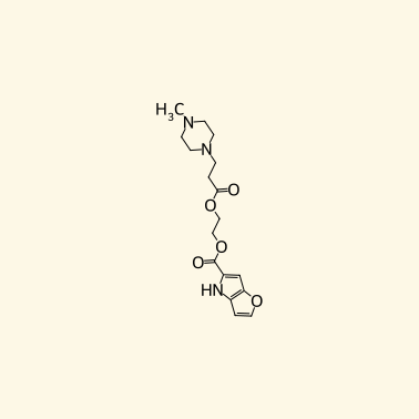 CN1CCN(CCC(=O)OCCOC(=O)c2cc3occc3[nH]2)CC1